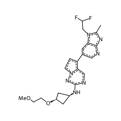 COCCO[C@H]1C[C@@H](Nc2ncc3c(-c4cnc5nc(C)n(CC(F)F)c5c4)ccn3n2)C1